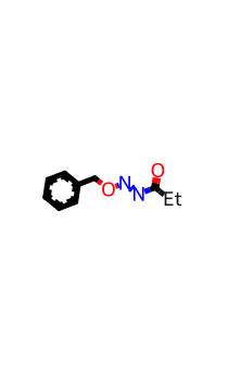 CCC(=O)N=NOCc1ccccc1